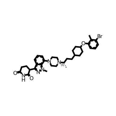 Cc1c(Br)cccc1OC1CCC(CC[C@H](C)N2CCN(c3cccc4c(C5CCC(=O)NC5=O)nn(C)c34)CC2)CC1